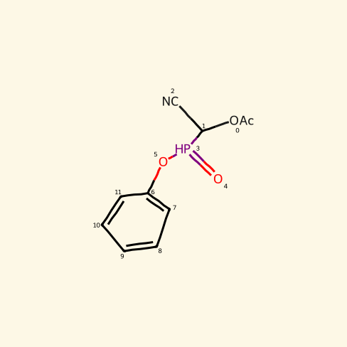 CC(=O)OC(C#N)[PH](=O)Oc1ccccc1